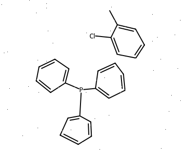 Cc1ccccc1Cl.c1ccc(P(c2ccccc2)c2ccccc2)cc1